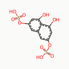 O=S(=O)(O)Oc1cc(O)c2c(O)cc(OS(=O)(=O)O)cc2c1